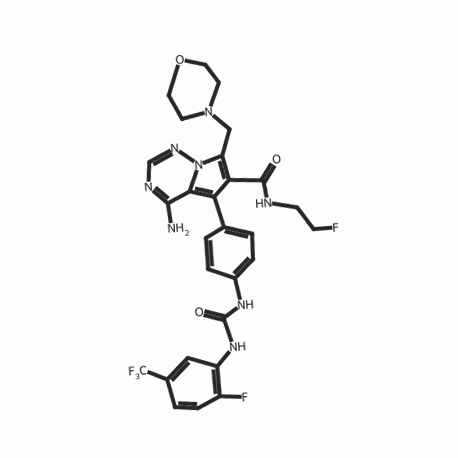 Nc1ncnn2c(CN3CCOCC3)c(C(=O)NCCF)c(-c3ccc(NC(=O)Nc4cc(C(F)(F)F)ccc4F)cc3)c12